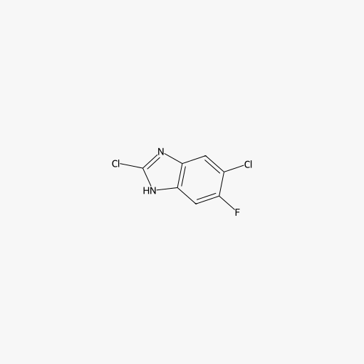 Fc1cc2[nH]c(Cl)nc2cc1Cl